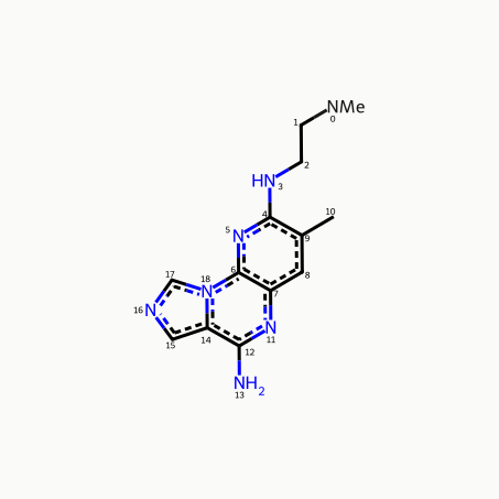 CNCCNc1nc2c(cc1C)nc(N)c1cncn12